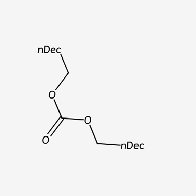 CCCCCCCCCCCOC(=O)OCCCCCCCCCCC